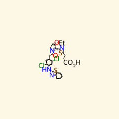 CCO[C@H]1CCN(C(=O)Cc2cc(Cl)c(Nc3nc4ccccc4s3)cc2Cl)[C@@H]1c1ncc(CCC(=O)O)s1